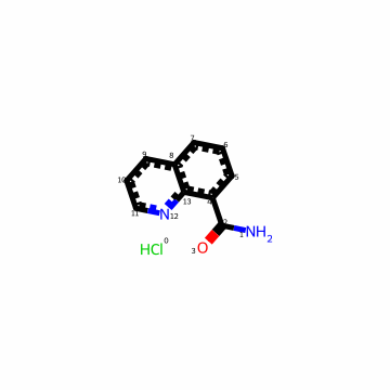 Cl.NC(=O)c1cccc2cccnc12